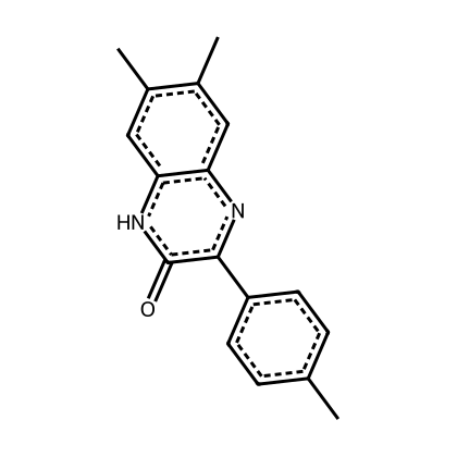 Cc1ccc(-c2nc3cc(C)c(C)cc3[nH]c2=O)cc1